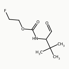 CC(C)(C)C(C=O)NC(=O)OCCF